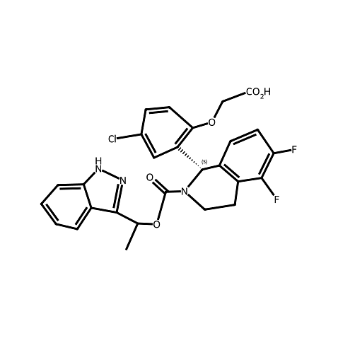 CC(OC(=O)N1CCc2c(ccc(F)c2F)[C@H]1c1cc(Cl)ccc1OCC(=O)O)c1n[nH]c2ccccc12